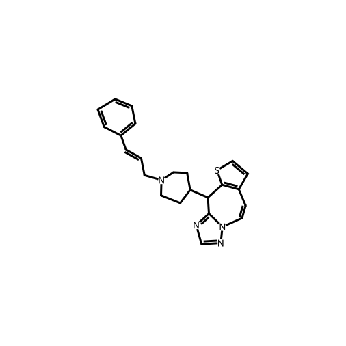 C1=Cn2ncnc2C(C2CCN(C/C=C/c3ccccc3)CC2)c2sccc21